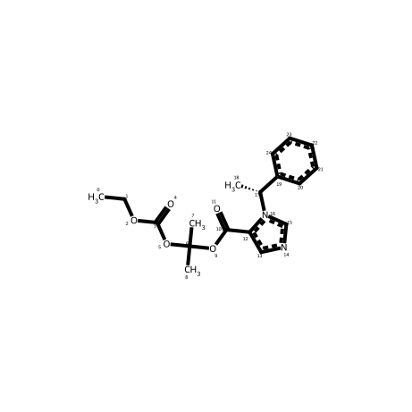 CCOC(=O)OC(C)(C)OC(=O)c1cncn1[C@H](C)c1ccccc1